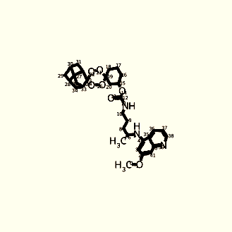 COc1cc(NC(C)CCCNC(=O)OC2CCCC3(C2)OOC2(OO3)C3CC4CC(C3)CC2C4)c2cccnc2c1